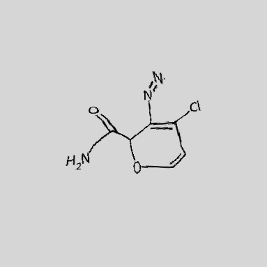 [N]=NC1=C(Cl)C=COC1C(N)=O